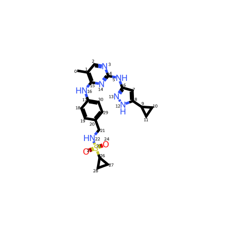 Cc1cnc(Nc2cc(C3CC3)[nH]n2)nc1Nc1ccc(CNS(=O)(=O)C2CC2)cc1